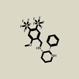 COc1cc(S(F)(F)(F)(F)F)c(S(F)(F)(F)(F)F)cc1CN[C@H]1CCCN[C@H]1c1ccccc1